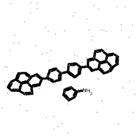 Nc1ccccc1.c1cc2ccc3cc(-c4ccc(-c5ccc(-c6cc7ccc8cccc9ccc(c6)c7c89)cc5)cc4)cc4ccc(c1)c2c34